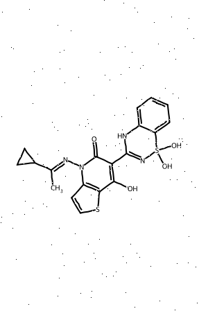 C/C(=N\n1c(=O)c(C2=NS(O)(O)c3ccccc3N2)c(O)c2sccc21)C1CC1